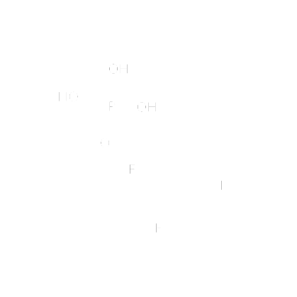 CC=CC(F)C(F)F.O=P(O)(O)O